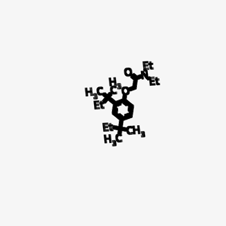 CCN(CC)C(=O)COc1ccc(C(C)(C)CC)cc1C(C)(C)CC